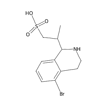 CC(CS(=O)(=O)O)C1NCCc2c(Br)cccc21